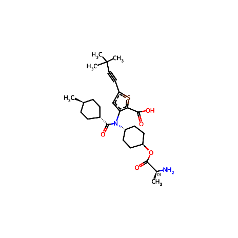 C[C@H](N)C(=O)O[C@H]1CC[C@H](N(c2cc(C#CC(C)(C)C)sc2C(=O)O)C(=O)[C@H]2CC[C@H](C)CC2)CC1